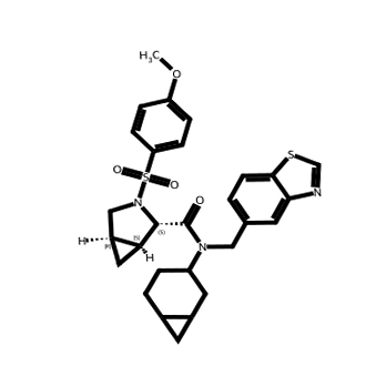 COc1ccc(S(=O)(=O)N2C[C@@H]3C[C@@H]3[C@H]2C(=O)N(Cc2ccc3scnc3c2)C2CCC3CC3C2)cc1